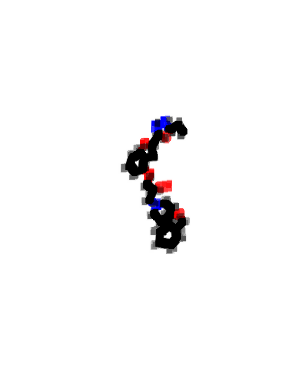 CCc1nnc(-c2cc3c(OC[C@@H](O)CN4CCC5(CC4)OCc4ccccc45)cccc3o2)o1